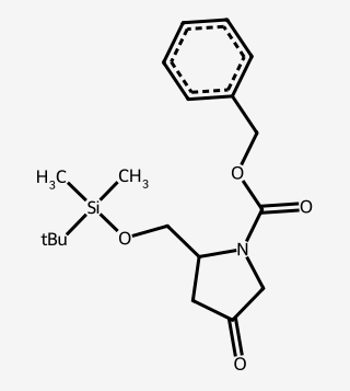 CC(C)(C)[Si](C)(C)OCC1CC(=O)CN1C(=O)OCc1ccccc1